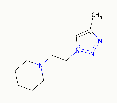 Cc1cn(CCN2CCCCC2)nn1